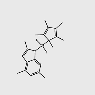 CC1=Cc2c(C)cc(C)cc2[CH]1[Zr]([I])([I])[C]1(C)C(C)=C(C)C(C)=C1C